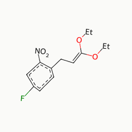 CCOC(=CCc1ccc(F)cc1[N+](=O)[O-])OCC